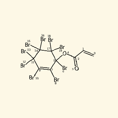 C=CC(=O)OC1(Br)C(Br)=C(Br)C(Br)(Br)C(Br)(Br)C1(Br)Br